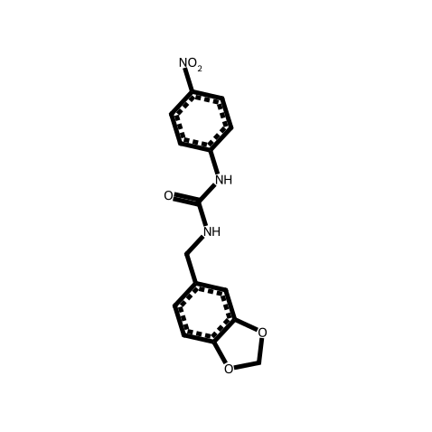 O=C(NCc1ccc2c(c1)OCO2)Nc1ccc([N+](=O)[O-])cc1